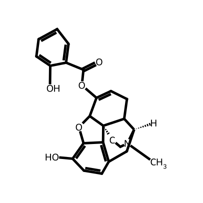 CN1CC[C@]23c4c5ccc(O)c4OC2C(OC(=O)c2ccccc2O)=CCC3[C@H]1C5